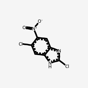 O=[N+]([O-])c1cc2nc(Cl)[nH]c2cc1Cl